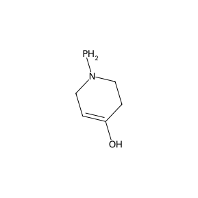 OC1=CCN(P)CC1